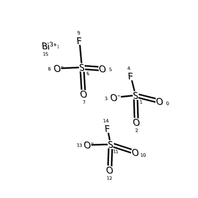 O=S(=O)([O-])F.O=S(=O)([O-])F.O=S(=O)([O-])F.[Bi+3]